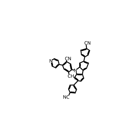 Cc1cc(-c2ccncc2)c(C#N)cc1-n1c2cc(-c3ccc(C#N)cc3)ccc2c2ccc(-c3ccc(C#N)cc3)cc21